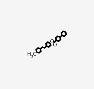 CC1CCC(CCc2ccc(OC(=O)C3CCC(C4CCCCC4)CC3)cc2)CC1